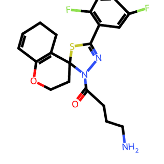 NCCCC(=O)N1N=C(c2cc(F)ccc2F)SC12CCOC1=C2CCC=C1